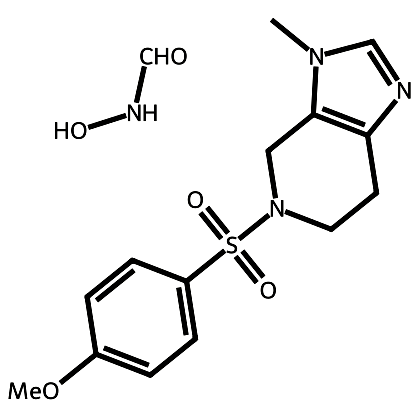 COc1ccc(S(=O)(=O)N2CCc3ncn(C)c3C2)cc1.O=CNO